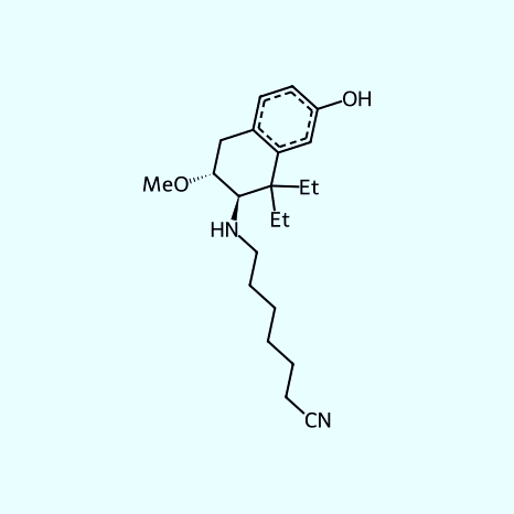 CCC1(CC)c2cc(O)ccc2C[C@@H](OC)[C@@H]1NCCCCCCC#N